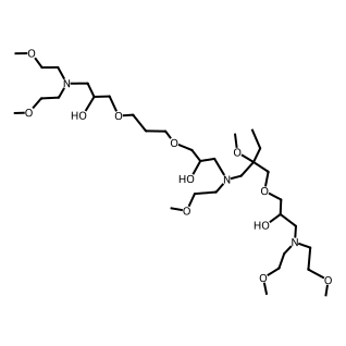 CCC(COCC(O)CN(CCOC)CCOC)(CN(CCOC)CC(O)COCCCOCC(O)CN(CCOC)CCOC)OC